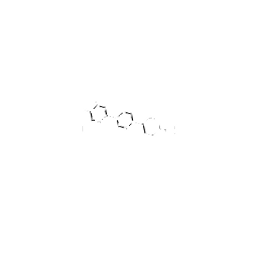 CC1CC=C(c2ccc(-c3cc(F)c(F)c(F)c3)cc2)CC1